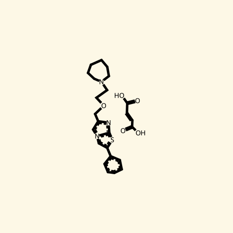 O=C(O)C=CC(=O)O.c1ccc(-c2cn3cc(COCCN4CCCCCC4)nc3s2)cc1